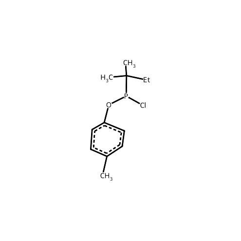 CCC(C)(C)P(Cl)Oc1ccc(C)cc1